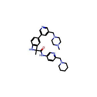 CN1CCN(Cc2cncc(-c3ccc4c(c3)C(C)(C(=O)Nc3ccc(CN5CCCCC5)nc3)N4)c2)CC1